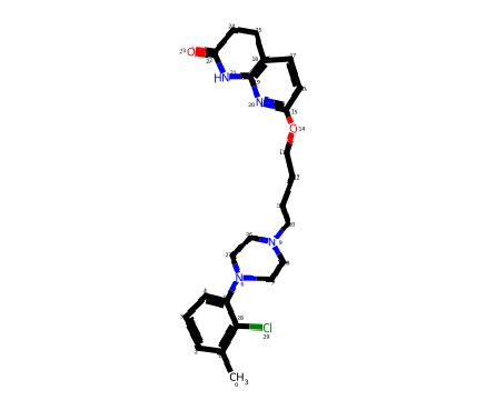 Cc1cccc(N2CCN(CCCCOc3ccc4c(n3)NC(=O)CC4)CC2)c1Cl